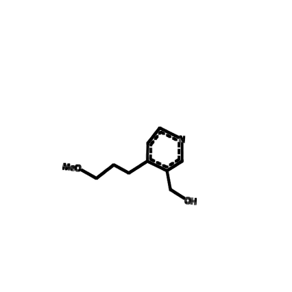 COCCCc1ccncc1CO